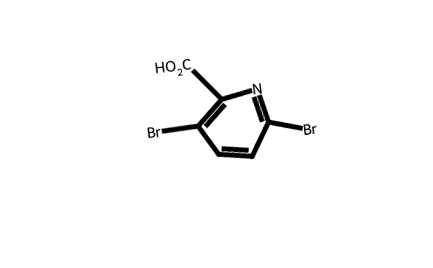 O=C(O)c1nc(Br)ccc1Br